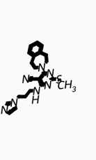 CSc1nc(NCCCn2ccnc2)c(C#N)c(N2CCc3ccccc3CC2)n1